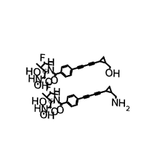 CC(O)(C(F)F)[C@H](NC(=O)c1ccc(C#CC#CC2CC2CN)cc1)C(=O)NO.CC(O)(C(F)F)[C@H](NC(=O)c1ccc(C#CC#CC2CC2CO)cc1)C(=O)NO